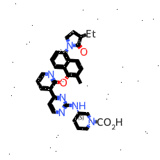 CCC1CCN(c2cccc3c(Oc4ncccc4-c4ccnc(N[C@H]5CCCN(C(=O)O)C5)n4)c(C)ccc23)C1=O